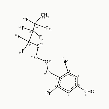 CC(C)c1cc(C=O)cc(C(C)C)c1OOOSC(F)(F)C(F)(F)C(C)(F)F